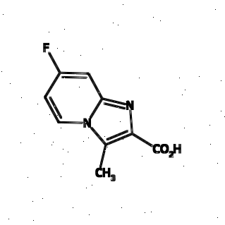 Cc1c(C(=O)O)nc2cc(F)ccn12